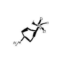 Nc1ccc([SH](Cl)(Cl)(Cl)I)cc1